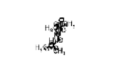 CCCN1C(=O)c2cc(C(=O)NCc3ccc(OC)cc3OC)nn2CC1(C)C(=O)NC1CCCC1